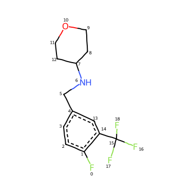 Fc1ccc(CNC2CCOCC2)cc1C(F)(F)F